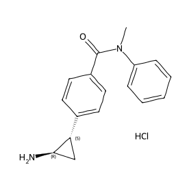 CN(C(=O)c1ccc([C@@H]2C[C@H]2N)cc1)c1ccccc1.Cl